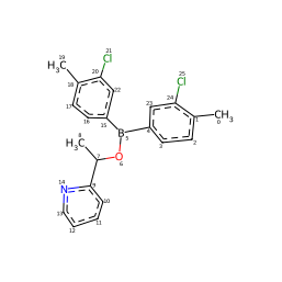 Cc1ccc(B(OC(C)c2ccccn2)c2ccc(C)c(Cl)c2)cc1Cl